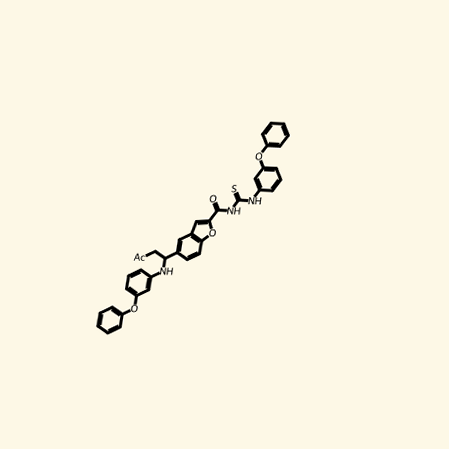 CC(=O)CC(Nc1cccc(Oc2ccccc2)c1)c1ccc2oc(C(=O)NC(=S)Nc3cccc(Oc4ccccc4)c3)cc2c1